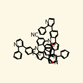 N#Cc1cc(-n2c3cc(-c4cccnc4-c4ccccc4)ccc3c3ccc(-c4cccnc4-c4ccccc4)cc32)c(-c2c(C(F)(F)F)cccc2C(F)(F)F)c(-n2c3cc(-c4cccnc4-c4ccccc4)ccc3c3ccc(-c4cccnc4-c4ccccc4)cc32)c1